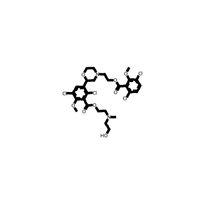 COc1c(Cl)ccc(Cl)c1C(=O)OCCN1CCOC(c2cc(Cl)c(OC)c(C(=O)OCCN(C)CCO)c2Cl)C1